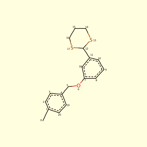 Cc1ccc(COc2cccc(C3SCCCS3)c2)cc1